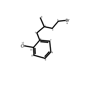 CC(CCBr)Cc1ccccc1Cl